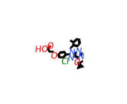 Cc1ccccc1Cn1c(-c2ccc(OCCC(=O)O)cc2Cl)nc2c(OC3(C)CC3)ncnc21